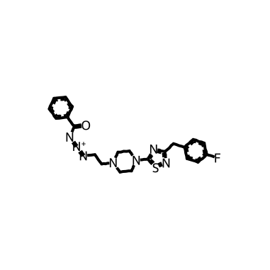 O=C(N=[N+]=NCCN1CCN(c2nc(Cc3ccc(F)cc3)ns2)CC1)c1ccccc1